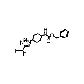 O=C(NC1CCC(n2cc(C(F)F)nn2)CC1)OCc1ccccc1